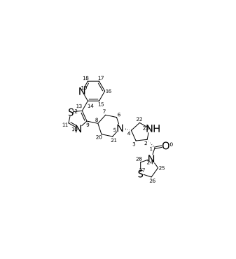 O=C([C@@H]1C[C@H](N2CCC(c3ncsc3-c3ccccn3)CC2)CN1)N1CCSC1